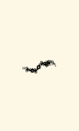 CC(C)(C)[Si](C)(C)OC1CN(C(=O)COc2ccc(CNC(=O)c3ccc(CNC(=O)O)cc3)cc2)CC1=O